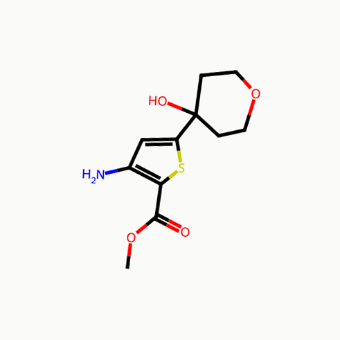 COC(=O)c1sc(C2(O)CCOCC2)cc1N